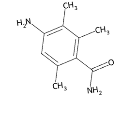 Cc1cc(N)c(C)c(C)c1C(N)=O